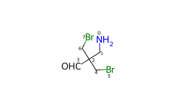 NCC(C=O)(CBr)CBr